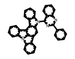 c1ccc(-c2nc(-n3c4ccccc4c4c5c6ccccc6n6c7ccccc7c(cc43)c56)c3ccccc3n2)cc1